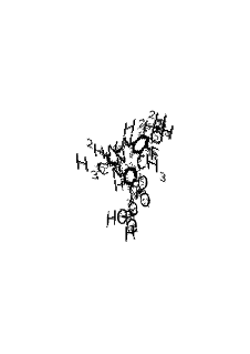 [2H]c1nc(Nc2cc(C)c(F)c(OC([2H])([2H])[2H])c2)nc(Nc2ccc3oc(=O)n(CO[PH](=O)O)c3c2)c1C